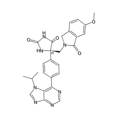 COc1ccc2c(c1)C(=O)N(C[C@@]1(c3ccc(-c4ncnc5ncn(C(C)C)c45)cc3)NC(=O)NC1=O)C2